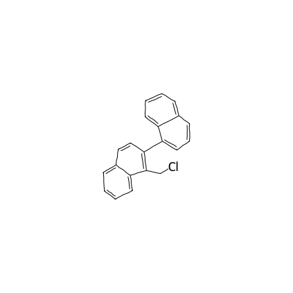 ClCc1c(-c2cccc3ccccc23)ccc2ccccc12